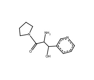 NC(C(=O)N1CCCC1)C(O)c1cccnc1